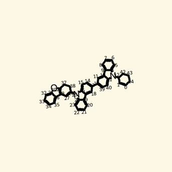 C1=CC(n2c3ccccc3c3cc(-c4ccc5c(c4)c4ccccc4n5C4=Cc5c(oc6ccccc56)CC4)ccc32)CCC1